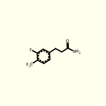 NC(=O)C[CH]c1ccc(C(F)(F)F)c(F)c1